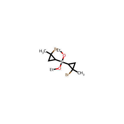 CCO[Si](OCC)(C1CC1(C)Br)C1CC1(C)Br